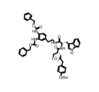 COc1ccc(CCC[C@H](CC(=O)O)C(=O)N[C@@H](Cc2c[nH]c3ccccc23)C(=O)NCCc2ccc(NC(=O)OCc3ccccc3)c(NC(=O)OCc3ccccc3)c2)cc1